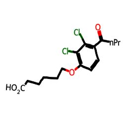 CCCC(=O)c1ccc(OCCCCCC(=O)O)c(Cl)c1Cl